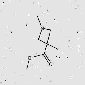 COC(=O)C1(C)CN(C)C1